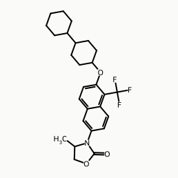 CC1COC(=O)N1c1ccc2c(C(F)(F)F)c(OC3CCC(C4CCCCC4)CC3)ccc2c1